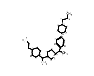 CCCC1CCC(C(C)C2CCC(C(C)c3ccc([C@H]4CC[C@H](CCC)CC4)cc3)CC2)CC1